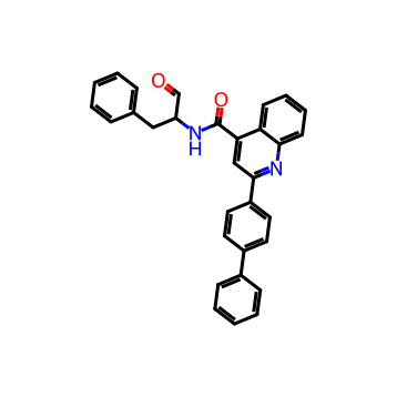 O=CC(Cc1ccccc1)NC(=O)c1cc(-c2ccc(-c3ccccc3)cc2)nc2ccccc12